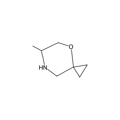 CC1COC2(CC2)CN1